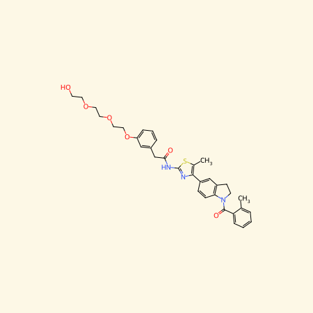 Cc1ccccc1C(=O)N1CCc2cc(-c3nc(NC(=O)Cc4cccc(OCCOCCOCCO)c4)sc3C)ccc21